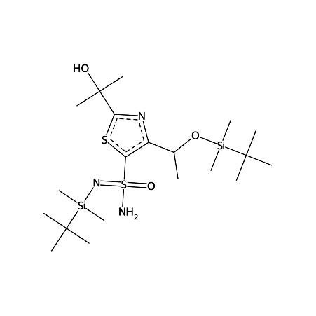 CC(O[Si](C)(C)C(C)(C)C)c1nc(C(C)(C)O)sc1S(N)(=O)=N[Si](C)(C)C(C)(C)C